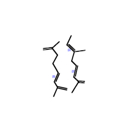 C=C(C)/C=C/C/C(C)=C/C.C=C(C)/C=C/CCC(=C)C